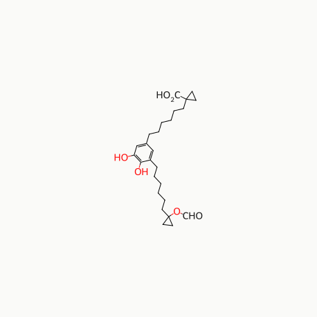 O=COC1(CCCCCCc2cc(CCCCCCC3(C(=O)O)CC3)cc(O)c2O)CC1